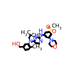 Cc1ccc(CO)cc1N(CC(C)C)c1ccnc(Nc2cc(N3CCOCC3)cc(S(C)(=O)=O)c2)n1